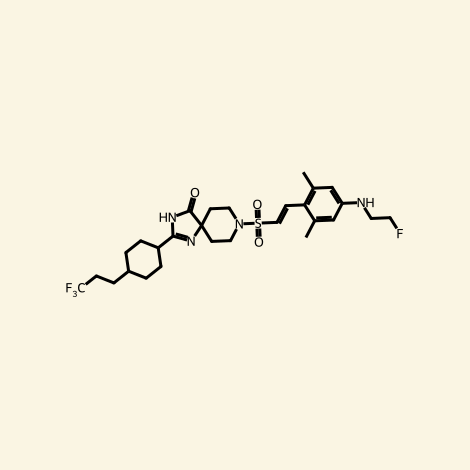 Cc1cc(NCCF)cc(C)c1/C=C/S(=O)(=O)N1CCC2(CC1)N=C(C1CCC(CCC(F)(F)F)CC1)NC2=O